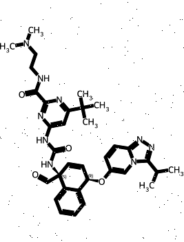 CC(C)c1nnc2ccc(O[C@@H]3C=C[C@](C=O)(NC(=O)Nc4cc(C(C)(C)C)nc(C(=O)NCCN(C)C)n4)c4ccccc43)cn12